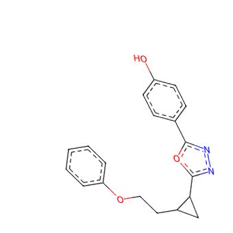 Oc1ccc(-c2nnc(C3CC3CCOc3ccccc3)o2)cc1